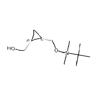 CC(C)(C)[Si](C)(C)OC[C@H]1C[C@H]1CO